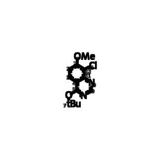 COc1ccc2c(OC(C)(C)C)ncnc2c1Cl